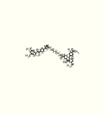 C/N=c1\ccc2c(-c3ccc(C(=O)NCCOCCOCCn4cc(-c5ccc(NC(=O)c6ccn7c(C)cc(C)nc67)cc5)nn4)cc3C(=O)O)c3ccc(N(C)C)cc3oc-2c1